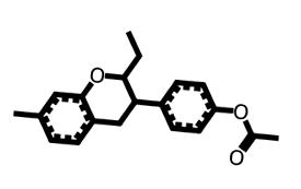 CCC1Oc2cc(C)ccc2CC1c1ccc(OC(C)=O)cc1